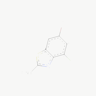 CC(=O)Nc1nc2c(F)cc(Br)cc2s1